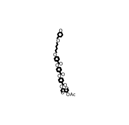 CC(=O)OC1COC2C(OC(=O)c3ccc(OC(=O)c4ccc(OC(=O)c5ccc(OCCCCCCOCC6CCC7OC7C6)cc5)cc4)cc3)COC12